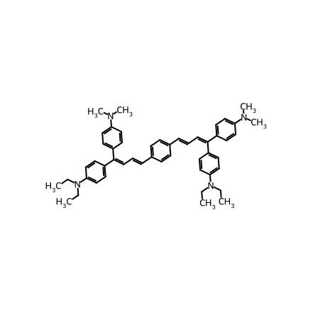 CCN(CC)c1ccc(C(=CC=Cc2ccc(C=CC=C(c3ccc(N(C)C)cc3)c3ccc(N(CC)CC)cc3)cc2)c2ccc(N(C)C)cc2)cc1